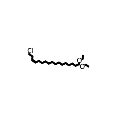 CCOC(CCCCCCCCCCCC/C=C\CCCl)OCC